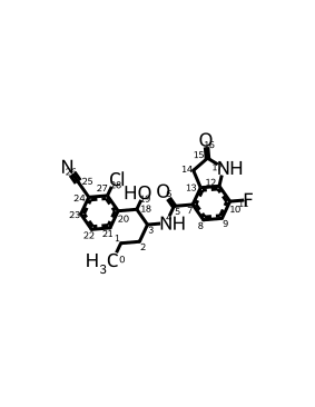 CCCC(NC(=O)c1ccc(F)c2c1CC(=O)N2)C(O)c1cccc(C#N)c1Cl